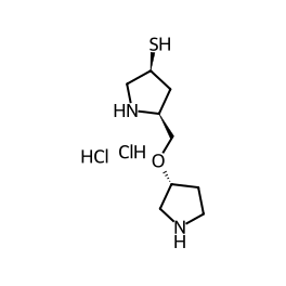 Cl.Cl.S[C@@H]1CN[C@H](CO[C@@H]2CCNC2)C1